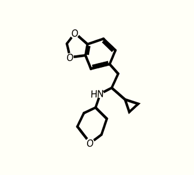 c1cc2c(cc1CC(NC1CCOCC1)C1CC1)OCO2